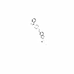 O=C(NC1Cc2ccc(CCN3CCN(c4nsc5ccccc45)CC3)cc2C1)C(F)(F)F